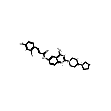 CCc1ccc(/C=C/C(=O)Nc2ccc3nc(N4CCC(N5CCCC5)CC4)nc(C)c3c2)c(Cl)c1